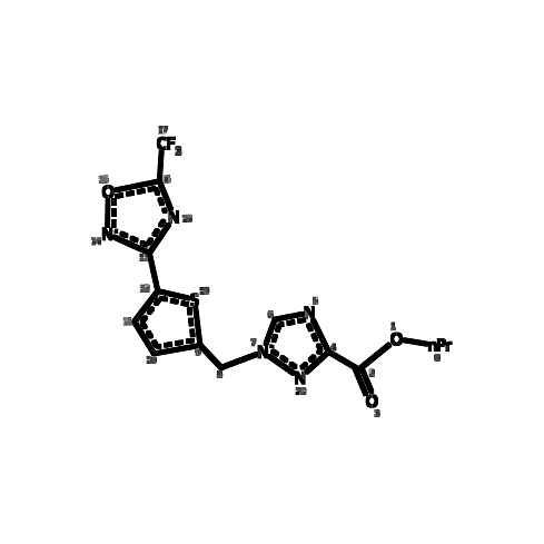 CCCOC(=O)c1ncn(Cc2ccc(-c3noc(C(F)(F)F)n3)s2)n1